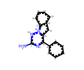 Nc1nc(-c2ccccc2)c2cc3ccccc3n2n1